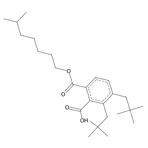 CC(C)CCCCCOC(=O)c1ccc(CC(C)(C)C)c(CC(C)(C)C)c1C(=O)O